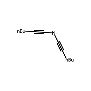 CCCCC#C[N]C#CCCCC